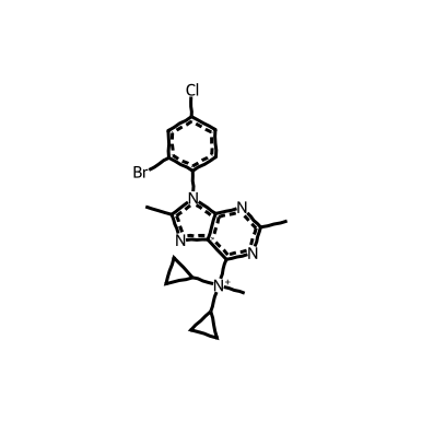 Cc1nc([N+](C)(C2CC2)C2CC2)c2nc(C)n(-c3ccc(Cl)cc3Br)c2n1